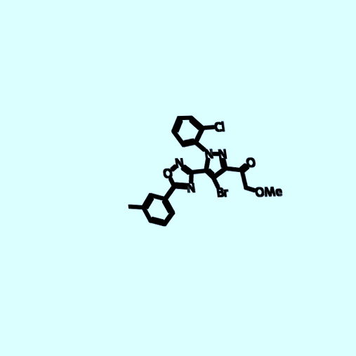 COCC(=O)c1nn(-c2ccccc2Cl)c(-c2noc(-c3cccc(C)c3)n2)c1Br